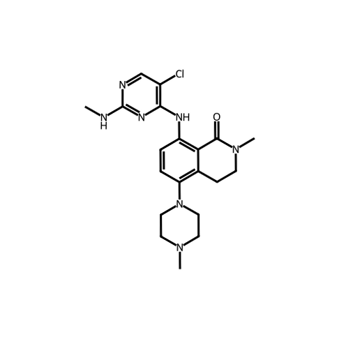 CNc1ncc(Cl)c(Nc2ccc(N3CCN(C)CC3)c3c2C(=O)N(C)CC3)n1